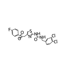 O=C(NCc1ccc(Cl)c(Cl)c1)Nc1nc(CS(=O)(=O)c2ccc(F)cc2)cs1